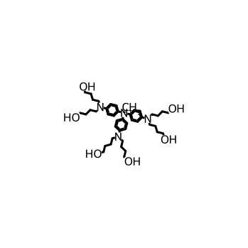 C[N+](c1ccc(N(CCCCO)CCCCO)cc1)(c1ccc(N(CCCCO)CCCCO)cc1)c1ccc(N(CCCCO)CCCCO)cc1